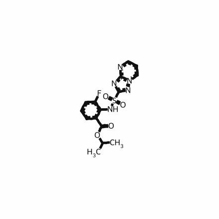 CC(C)OC(=O)c1cccc(F)c1NS(=O)(=O)c1nc2ncccn2n1